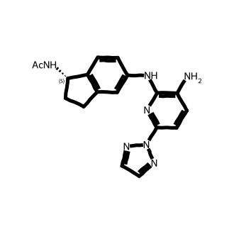 CC(=O)N[C@H]1CCc2cc(Nc3nc(-n4nccn4)ccc3N)ccc21